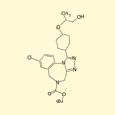 CC(CO)OC1CCC(c2nnc3n2-c2ccc(Cl)cc2CN(C(=O)OC(C)(C)C)C3)CC1